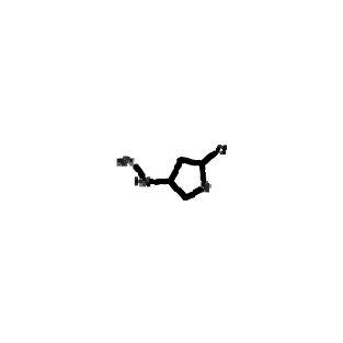 CCCNC1C[N]C(Cl)C1